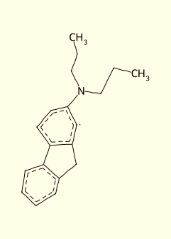 CCCN(CCC)c1[c]c2c(cc1)-c1ccccc1C2